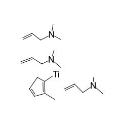 C=CCN(C)C.C=CCN(C)C.C=CCN(C)C.CC1=[C]([Ti])CC=C1